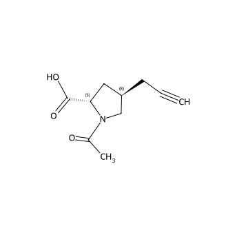 C#CC[C@@H]1C[C@@H](C(=O)O)N(C(C)=O)C1